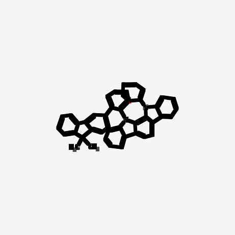 CC1(C)c2ccccc2-c2cc(-c3ccccc3-n3c4ccccc4c4ccc5c6ccccc6n(-c6ccccc6)c5c43)ccc21